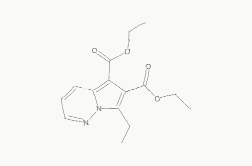 CCOC(=O)c1c(C(=O)OCC)c2cccnn2c1CC